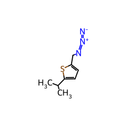 CC(C)c1ccc(CN=[N+]=[N-])s1